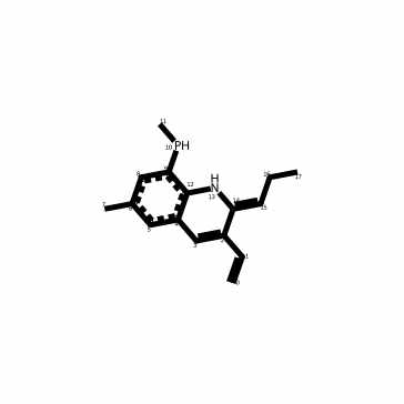 C=CC1=Cc2cc(C)cc(PC)c2NC1=CCC